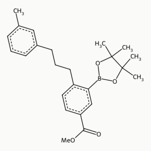 COC(=O)c1ccc(CCCc2cccc(C)c2)c(B2OC(C)(C)C(C)(C)O2)c1